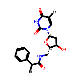 CCc1cn([C@@H]2CC(O)[C@H](CNC(=O)C(CC)c3ccccc3)O2)c(=O)[nH]c1=O